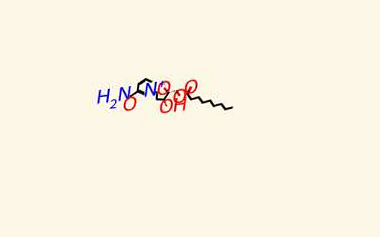 CCCCCCCCC(=O)OC[C@H]1O[C@@H]([n+]2cccc(C(N)=O)c2)C[C@@H]1O